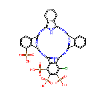 O=S(=O)(O)c1cccc2c1-c1nc-2nc2[nH]c(nc3nc(nc4[nH]c(n1)c1c(S(=O)(=O)O)c(S(=O)(=O)O)c(S(=O)(=O)O)c(Cl)c41)-c1ccccc1-3)c1ccccc21